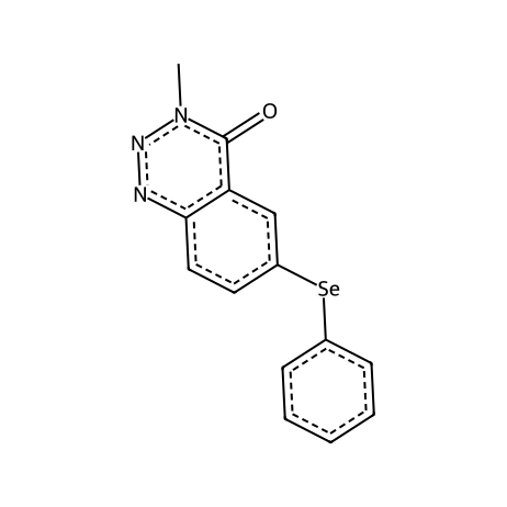 Cn1nnc2ccc([Se]c3ccccc3)cc2c1=O